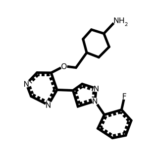 NC1CCC(COc2cncnc2-c2cnn(-c3ccccc3F)c2)CC1